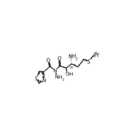 CC(C)SCC[C@@H](N)C(O)C(=O)N(N)C(=O)c1cscn1